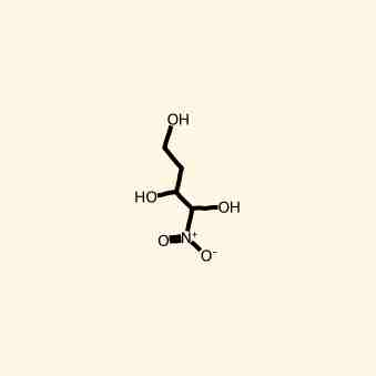 O=[N+]([O-])C(O)C(O)CCO